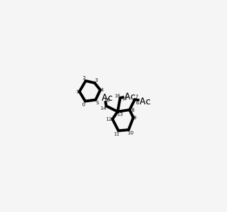 C1CCCCC1.CC(=O)CC1CCCCC1(CC(C)=O)CC(C)=O